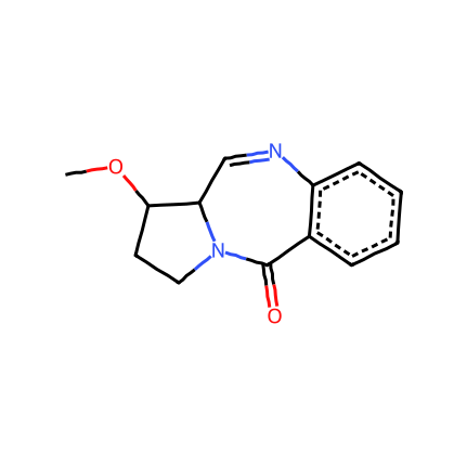 COC1CCN2C(=O)c3ccccc3N=CC12